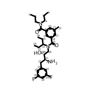 CCCN(CCC)C(=O)c1cc(C)cc(C(=O)N(C[C@@H](O)[C@@H](N)Cc2cc(F)cc(F)c2)C(CC)CC)c1